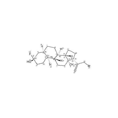 C[C@]12CC[C@H]3[C@@H](CC[C@@H]4C[C@@](O)(F)CC[C@@H]43)[C@@H]1CC[C@@H]2C(=O)CBr